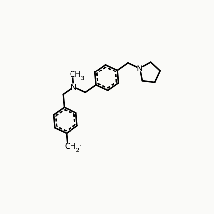 [CH2]c1ccc(CN(C)Cc2ccc(CN3CCCC3)cc2)cc1